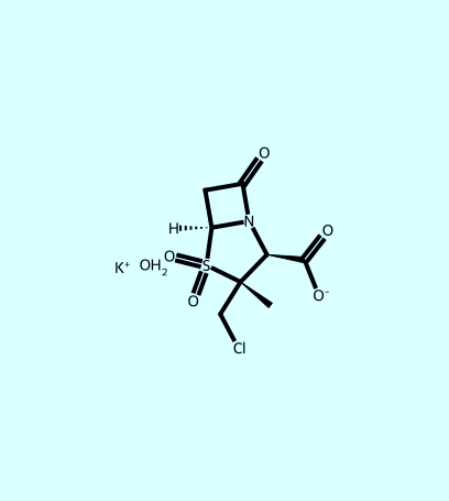 C[C@]1(CCl)[C@H](C(=O)[O-])N2C(=O)C[C@@H]2S1(=O)=O.O.[K+]